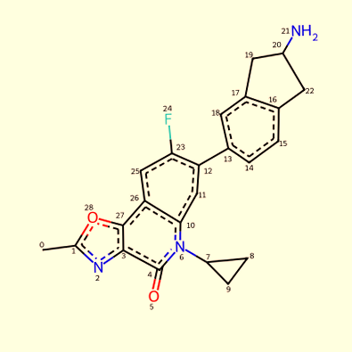 Cc1nc2c(=O)n(C3CC3)c3cc(-c4ccc5c(c4)CC(N)C5)c(F)cc3c2o1